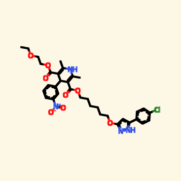 CCOCCOC(=O)C1=C(C)NC(C)=C(C(=O)OCCCCCCOc2cc(-c3ccc(Cl)cc3)[nH]n2)C1c1cccc([N+](=O)[O-])c1